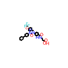 O=C(O)CCNC(=O)c1ccc(N(Cc2ccc(OC(F)(F)F)cc2)C(=O)Nc2ccc(C3CCCCC3)cc2)cc1